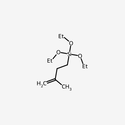 C=C(C)CC[Si](OCC)(OCC)OCC